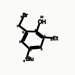 CCc1cc(C(C)(C)C)cc(CBr)c1O